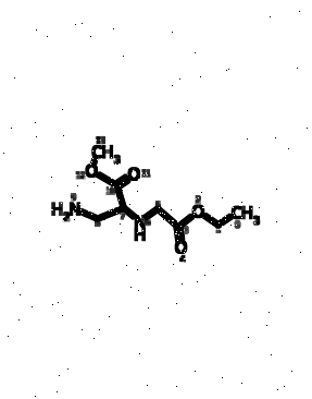 CCOC(=O)CNC(CN)C(=O)OC